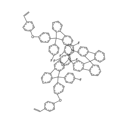 C=Cc1ccc(Oc2ccc(C3(c4ccc(F)cc4)c4ccccc4-c4ccc(N(c5ccc6c(c5)C5(c7ccccc7-6)c6ccccc6-c6ccc(N(c7ccc8c(c7)C(c7ccc(F)cc7)(c7ccc(Oc9ccc(C=C)cc9)cc7)c7ccccc7-8)c7cc(F)ccc7F)cc65)c5cc(F)ccc5F)cc43)cc2)cc1